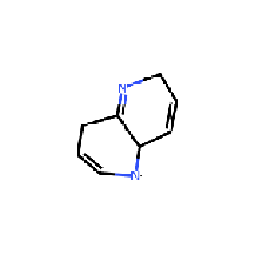 C1=CC2[N]C=CCC2=NC1